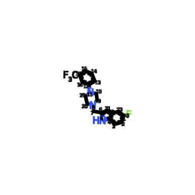 Fc1ccc2[nH]c(CN3CCN(c4cccc(C(F)(F)F)c4)CC3)cc2c1